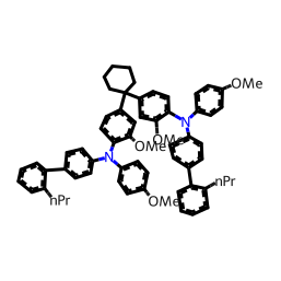 CCCc1ccccc1-c1ccc(N(c2ccc(OC)cc2)c2ccc(C3(c4ccc(N(c5ccc(OC)cc5)c5ccc(-c6ccccc6CCC)cc5)c(OC)c4)CCCCC3)cc2OC)cc1